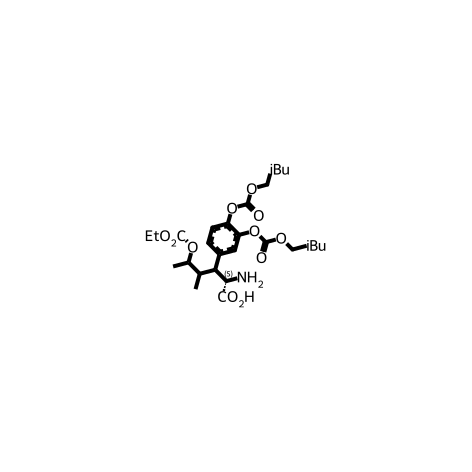 CCOC(=O)OC(C)C(C)C(c1ccc(OC(=O)OCC(C)CC)c(OC(=O)OCC(C)CC)c1)[C@H](N)C(=O)O